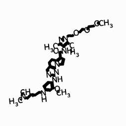 COCCOCCOCCn1nc(C)c(NC(=O)c2ccn3c2CCc2cnc(Nc4ccc(NCCCCN(C)C)cc4OC)nc2-3)c1C